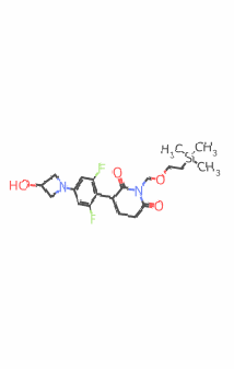 C[Si](C)(C)CCOCN1C(=O)CCC(c2c(F)cc(N3CC(O)C3)cc2F)C1=O